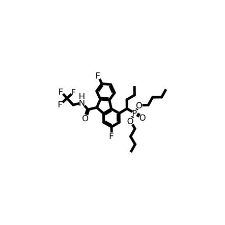 CCCCOP(=O)(OCCCC)C(CCC)c1cc(F)cc2c1-c1ccc(F)cc1C2C(=O)NCC(F)(F)F